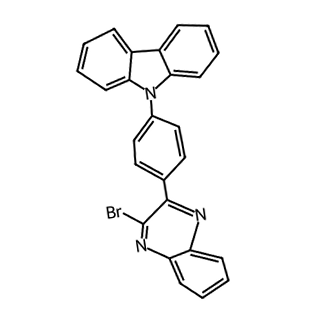 Brc1nc2ccccc2nc1-c1ccc(-n2c3ccccc3c3ccccc32)cc1